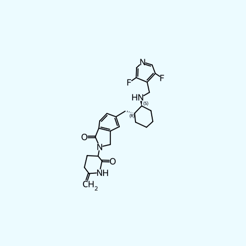 C=C1CCC(N2Cc3cc(C[C@H]4CCCC[C@@H]4NCc4c(F)cncc4F)ccc3C2=O)C(=O)N1